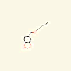 C=CCCCOCc1ccc2c(c1)OCO2